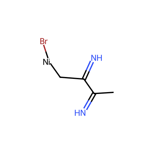 CC(=N)C(=N)[CH2][Ni][Br]